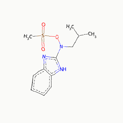 CC(C)CN(OS(C)(=O)=O)c1nc2ccccc2[nH]1